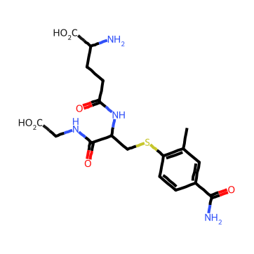 Cc1cc(C(N)=O)ccc1SCC(NC(=O)CCC(N)C(=O)O)C(=O)NCC(=O)O